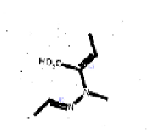 C/C=N/N(C)/C(=C/C)C(=O)O